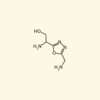 NCc1nnc(C(N)CO)o1